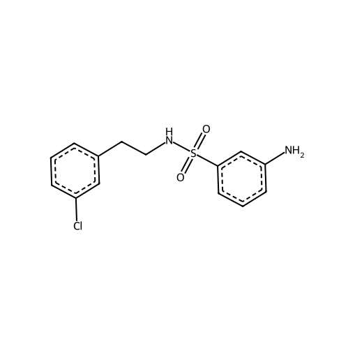 Nc1cccc(S(=O)(=O)NCCc2cccc(Cl)c2)c1